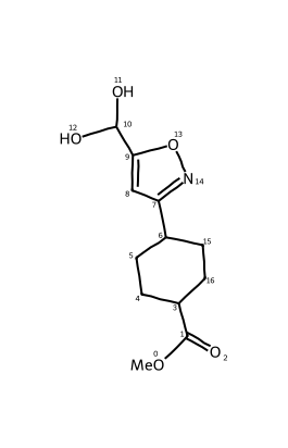 COC(=O)C1CCC(c2cc(C(O)O)on2)CC1